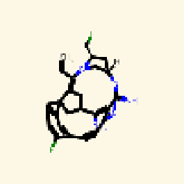 C=C/C1=C2/CC3CC24c2cc(F)c(cc24)C#CC2=NN(C(=N)/C2=C\3N)[C@H]2C[C@H](CF)N1C2